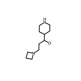 [O]C(CCN1CCC1)C1CCNCC1